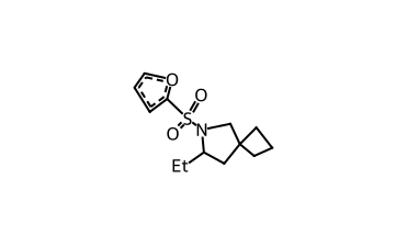 CCC1CC2(CCC2)CN1S(=O)(=O)c1ccco1